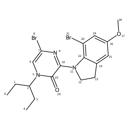 CCC(CC)n1cc(Br)nc(N2CCc3cc(OC)cc(Br)c32)c1=O